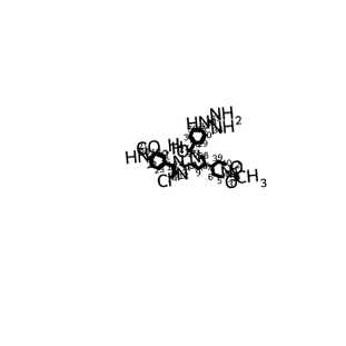 CS(=O)(=O)N1CCC([C@H]2C[C@@H](c3nc(Cl)c(-c4ccc(NC(=O)O)cc4)[nH]3)N(C(=O)c3ccc(NC(=N)N)cc3)C2)CC1